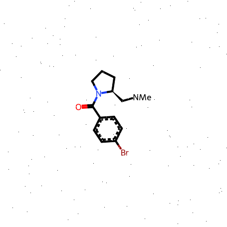 CNC[C@@H]1CCCN1C(=O)c1ccc(Br)cc1